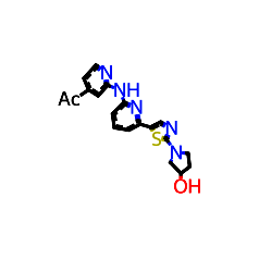 CC(=O)c1ccnc(Nc2cccc(-c3cnc(N4CCC(O)C4)s3)n2)c1